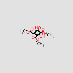 CCOC(=O)Cc1cc(O)c(C(=O)OCC)c(O)c1C(=O)OCC